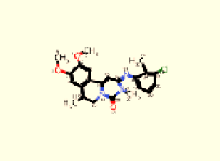 COc1cc2c(cc1OC)C(C)Cn1c-2cc(=Nc2cccc(Cl)c2C)n(C)c1=O